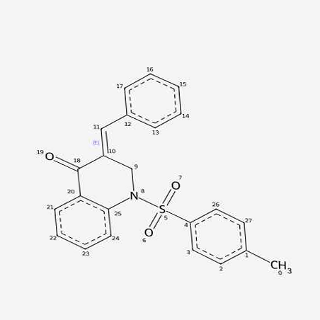 Cc1ccc(S(=O)(=O)N2C/C(=C\c3ccccc3)C(=O)c3ccccc32)cc1